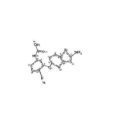 Nc1nc2ccc(Oc3cc(NC(=O)O)ccc3F)nc2s1